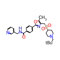 Cc1oc(-c2ccc(C(=O)NCc3cccnc3)cc2)nc1CS(=O)(=O)C1CCN(CC(C)(C)C)CC1